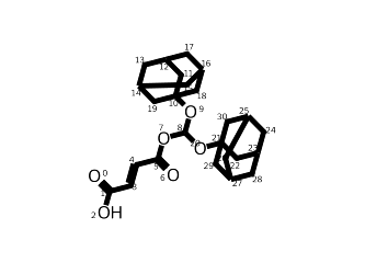 O=C(O)C=CC(=O)OC(OC12CC3CC(CC(C3)C1)C2)OC12CC3CC(CC(C3)C1)C2